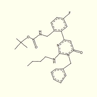 CCCCNc1nc(-c2cc(F)ccc2CNC(=O)OC(C)(C)C)cc(=O)n1Cc1ccccc1